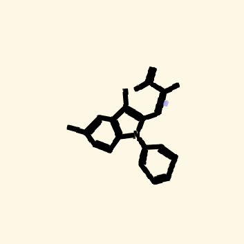 C=C(C)/C(C)=C\c1c(C)c2cc(C)ccc2n1-c1ccccc1